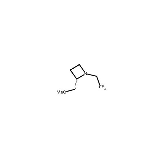 COC[C@@H]1CCN1CC(F)(F)F